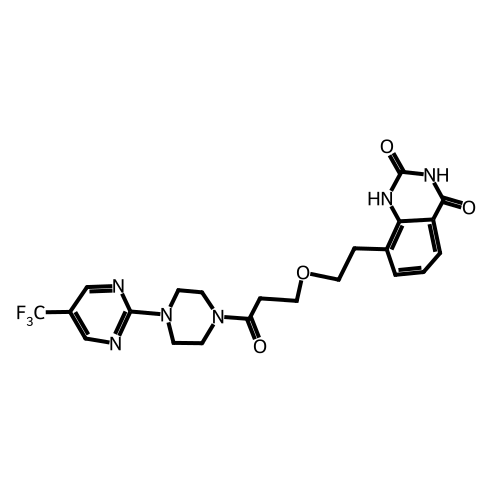 O=C(CCOCCc1cccc2c(=O)[nH]c(=O)[nH]c12)N1CCN(c2ncc(C(F)(F)F)cn2)CC1